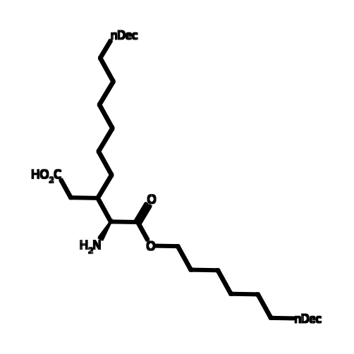 CCCCCCCCCCCCCCCCOC(=O)[C@@H](N)C(CCCCCCCCCCCCCCCC)CC(=O)O